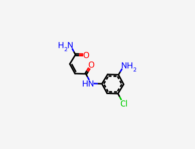 NC(=O)/C=C\C(=O)Nc1cc(N)cc(Cl)c1